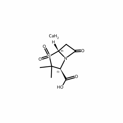 CC1(C)[C@H](C(=O)O)N2C(=O)C[C@H]2S1(=O)=O.[CaH2]